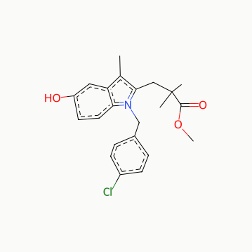 COC(=O)C(C)(C)Cc1c(C)c2cc(O)ccc2n1Cc1ccc(Cl)cc1